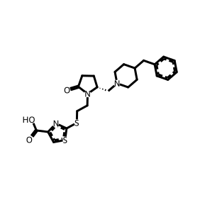 O=C(O)c1csc(SCCN2C(=O)CC[C@@H]2CN2CCC(Cc3ccccc3)CC2)n1